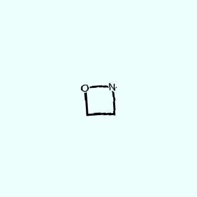 C1CO[N]1